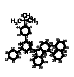 CC(C)(C)c1ccc(-c2nc(-c3ccccc3)nc(-n3c4ccccc4c4c5c(ccc43)-c3cccc4cccc-5c34)n2)cc1